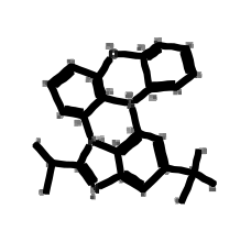 CC(C)c1nc2cc(C(C)(C)C)cc3c2n1-c1cccc2c1B3c1ccccc1O2